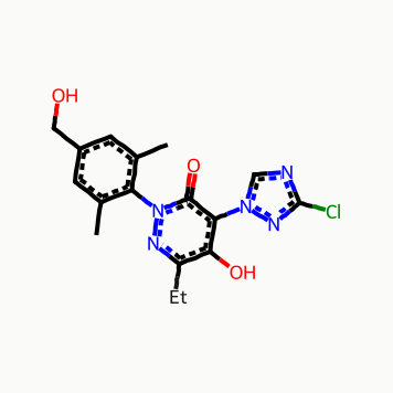 CCc1nn(-c2c(C)cc(CO)cc2C)c(=O)c(-n2cnc(Cl)n2)c1O